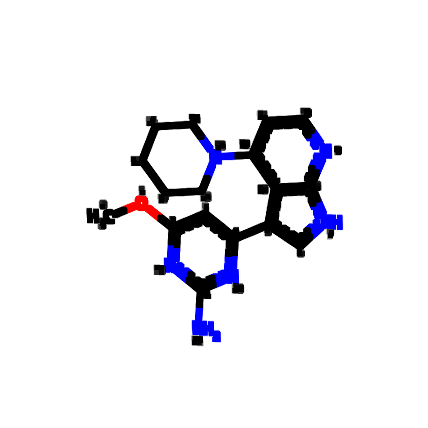 COc1cc(-c2c[nH]c3nccc(N4CCCCC4)c23)nc(N)n1